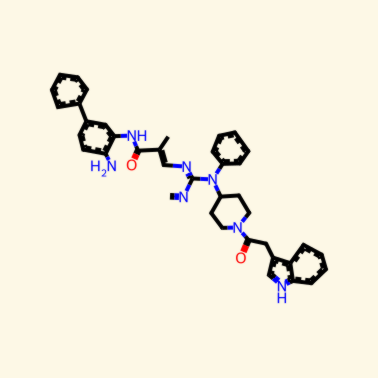 C=N/C(=N\C=C(/C)C(=O)Nc1cc(-c2ccccc2)ccc1N)N(c1ccccc1)C1CCN(C(=O)Cc2c[nH]c3ccccc23)CC1